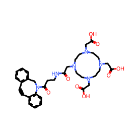 O=C(O)CN1CCN(CC(=O)O)CCN(CC(=O)NCCC(=O)N2Cc3ccccc3C#Cc3ccccc32)CCN(CC(=O)O)CC1